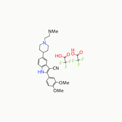 CNCCN1CCC(c2ccc3[nH]c(-c4ccc(OC)c(OC)c4)c(C#N)c3c2)CC1.O=C(O)C(F)(F)F.O=C(O)C(F)(F)F